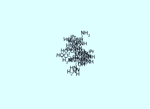 CC[C@H](C)[C@H](NC(=O)[C@@H](NC(=O)[C@@H](NC(=O)[C@H](CCCCN)NC(=O)CNC(=O)[C@H](C)NC(=O)[C@H](CO)NC(=O)[C@H](CC(C)C)NC(=O)[C@H](C)NC(=O)[C@H](C)NC(=O)[C@H](CO)NC(=O)[C@H](CCCNC(=N)N)NC(=O)[C@@H](N)Cc1ccc(O)cc1)C(C)C)[C@@H](C)O)C(=O)N[C@@H](CC(=O)O)C(=O)O